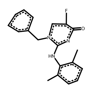 Cc1cccc(C)c1Nc1nc(=O)c(F)cn1Cc1ccccc1